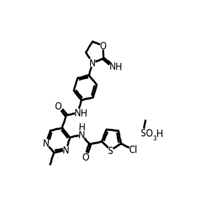 CS(=O)(=O)O.Cc1ncc(C(=O)Nc2ccc(N3CCOC3=N)cc2)c(NC(=O)c2ccc(Cl)s2)n1